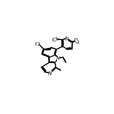 CCn1c2c(-c3ccc(Cl)nc3Cl)cc(Cl)cc2c2ccnc(C)c21